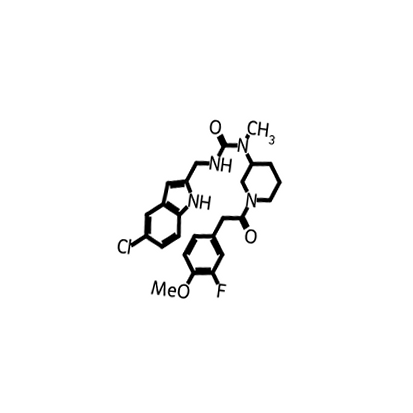 COc1ccc(CC(=O)N2CCCC(N(C)C(=O)NCc3cc4cc(Cl)ccc4[nH]3)C2)cc1F